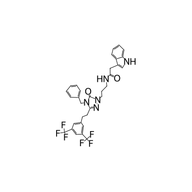 O=C(Cc1c[nH]c2ccccc12)NCCCn1nc(CCc2cc(C(F)(F)F)cc(C(F)(F)F)c2)n(Cc2ccccc2)c1=O